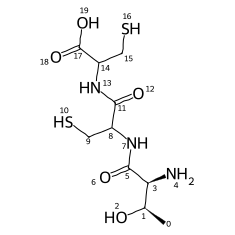 C[C@@H](O)[C@H](N)C(=O)NC(CS)C(=O)NC(CS)C(=O)O